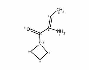 CC=C(N)C(=O)N1CCC1